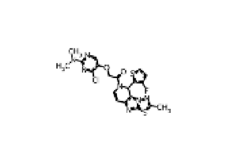 Cc1nn2c3c(nc2s1)C=CN(C(=O)COc1cnc(N(C)C)nc1Cl)C3c1sccc1F